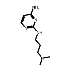 CN(C)CCCNc1nccc(N)n1